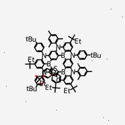 CCC(C)(C)c1cc2c3c(c1)N(c1c(C)cc(C)cc1C)c1cc4c(cc1B3c1sc3ccc(C(C)(C)CC)cc3c1O2)B1c2cc3c(cc2N(c2c(C)cc(C)cc2C)c2cc(C(C)(C)CC)cc(c21)N4c1ccc(C(C)(C)C)cc1)N(c1ccc(C(C)(C)C)cc1)c1cc(C(C)(C)CC)cc2c1B3c1sc3ccc(C(C)(C)CC)cc3c1N2c1ccc(C(C)(C)C)cc1